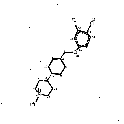 CCC[SiH]1CCC([C@H]2CC[C@H](COc3ccc(Cl)c(F)c3)CC2)CC1